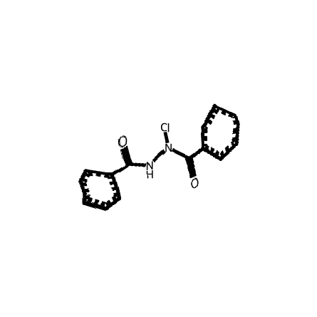 O=C(NN(Cl)C(=O)c1ccccc1)c1ccccc1